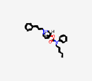 CCCCCN(C(=O)O[C@H]1C[N+]2(CC=Cc3ccccc3)CCC1CC2)c1ccccc1